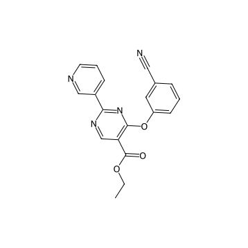 CCOC(=O)c1cnc(-c2cccnc2)nc1Oc1cccc(C#N)c1